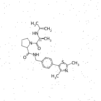 C=C(C)N[C@@H](C)C(=O)N1CCCC1C(=O)NCc1ccc(-c2sc(C)nc2C)cc1